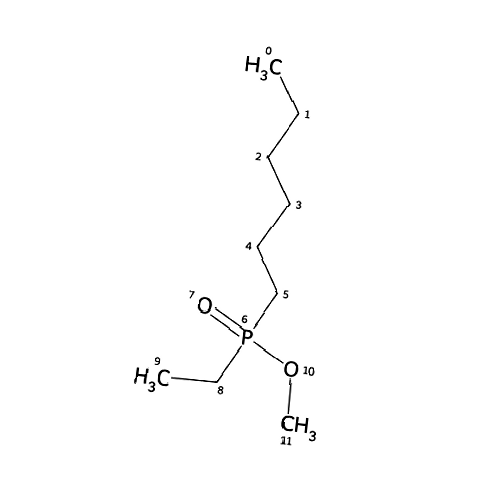 CCCCCCP(=O)(CC)OC